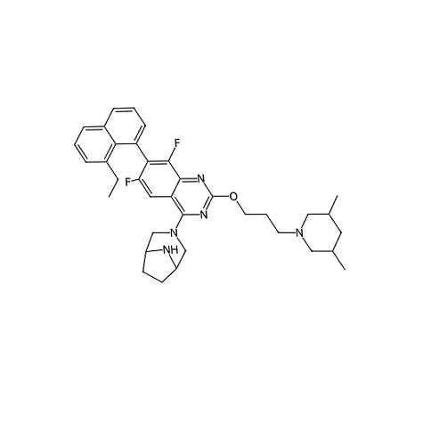 CCc1cccc2cccc(-c3c(F)cc4c(N5CC6CCC(C5)N6)nc(OCCCN5CC(C)CC(C)C5)nc4c3F)c12